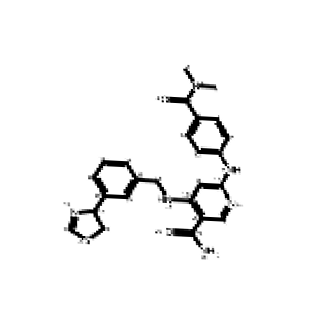 CN(C)C(=O)c1ccc(Nc2cc(NCc3cccc(C4CSC=N4)c3)c(C(N)=O)cn2)cc1